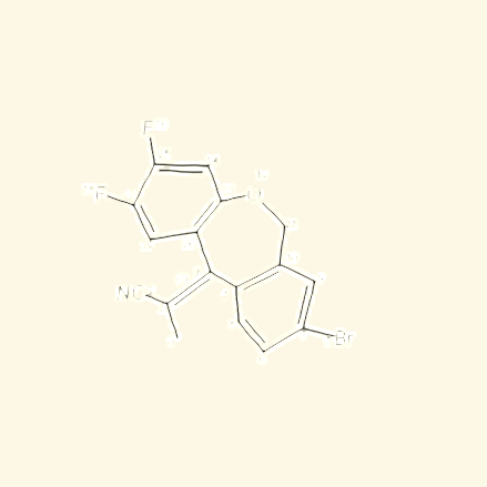 C/C(C#N)=C1\c2ccc(Br)cc2COc2cc(F)c(F)cc21